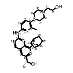 Cc1nc(Nc2ncc3cc([C@@H](C)O)nc(N4C5CCC4CC5)c3n2)ccc1N1CCN(CCO)CC1